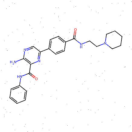 Nc1ncc(-c2ccc(C(=O)NCCN3CCCCC3)cc2)nc1C(=O)Nc1ccccc1